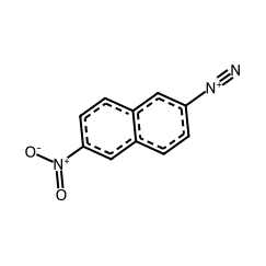 N#[N+]c1ccc2cc([N+](=O)[O-])ccc2c1